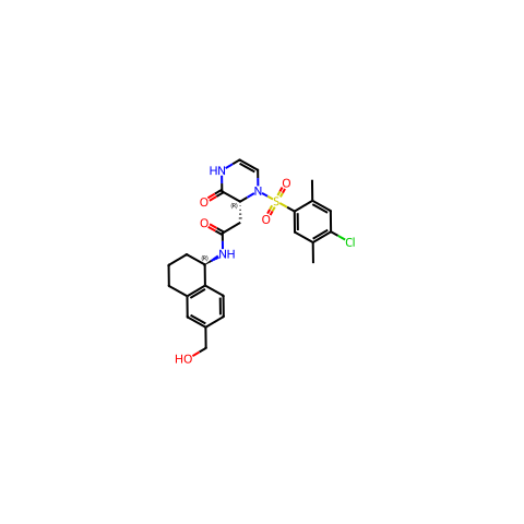 Cc1cc(S(=O)(=O)N2C=CNC(=O)[C@H]2CC(=O)N[C@@H]2CCCc3cc(CO)ccc32)c(C)cc1Cl